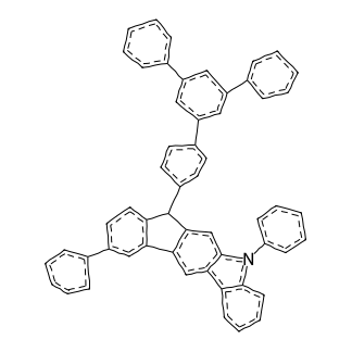 c1ccc(-c2cc(-c3ccccc3)cc(-c3ccc(C4c5ccc(-c6ccccc6)cc5-c5cc6c7ccccc7n(-c7ccccc7)c6cc54)cc3)c2)cc1